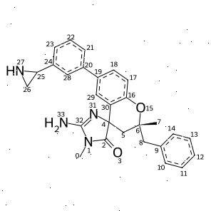 CN1C(=O)C2(C[C@@](C)(Cc3ccccc3)Oc3ccc(-c4cccc(C5CN5)c4)cc32)N=C1N